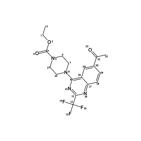 CCOC(=O)N1CCN(c2nc(C(F)(F)F)nc3ccc(C(C)=O)cc23)CC1